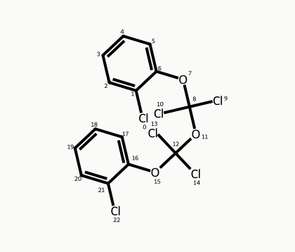 Clc1ccccc1OC(Cl)(Cl)OC(Cl)(Cl)Oc1ccccc1Cl